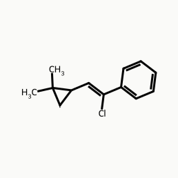 CC1(C)[CH]C1/C=C(\Cl)c1ccccc1